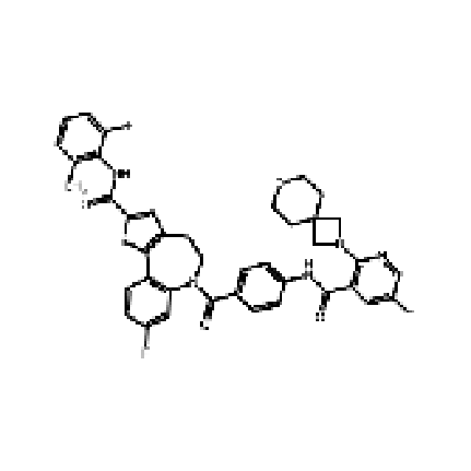 Cc1cccc(F)c1NC(=O)c1cc2c(s1)-c1ccc(F)cc1N(C(=O)c1ccc(NC(=O)c3cc(F)cnc3N3CC4(CCOCC4)C3)cc1)CC2